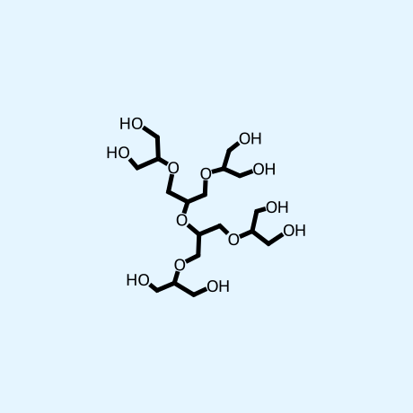 OCC(CO)OCC(COC(CO)CO)OC(COC(CO)CO)COC(CO)CO